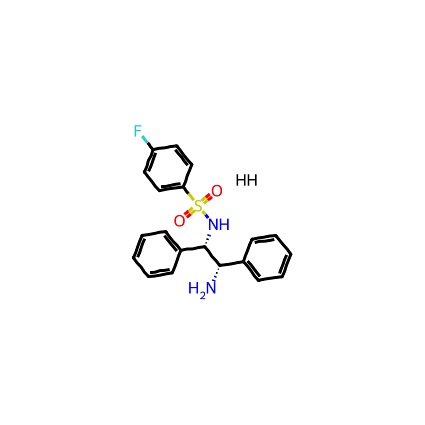 N[C@@H](c1ccccc1)[C@@H](NS(=O)(=O)c1ccc(F)cc1)c1ccccc1.[HH]